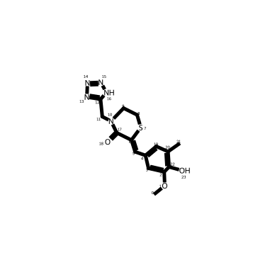 COc1cc(C=C2SCCN(Cc3nnn[nH]3)C2=O)cc(C)c1O